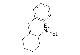 CCN(CC)C1CCCC/C1=C/c1ccccc1